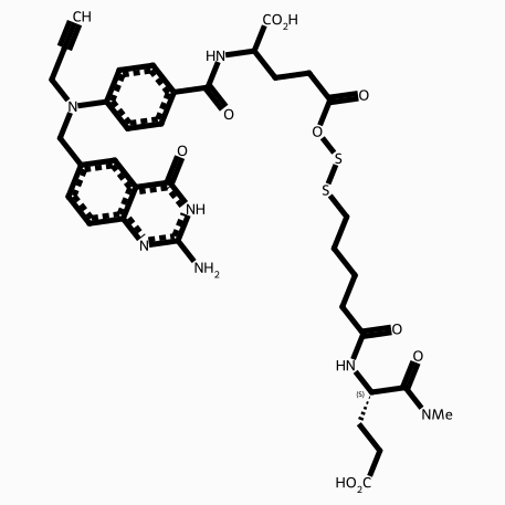 C#CCN(Cc1ccc2nc(N)[nH]c(=O)c2c1)c1ccc(C(=O)NC(CCC(=O)OSSCCCCC(=O)N[C@@H](CCC(=O)O)C(=O)NC)C(=O)O)cc1